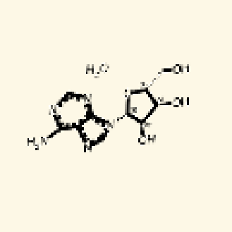 Nc1ncnc2c1ncn2[C@@H]1O[C@H](CO)[C@@H](O)[C@H]1O.O